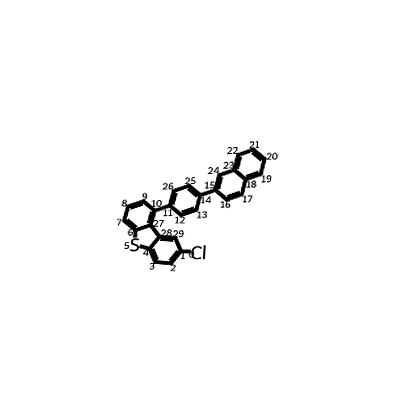 Clc1ccc2sc3cccc(-c4ccc(-c5ccc6ccccc6c5)cc4)c3c2c1